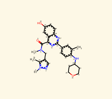 CCn1ncc(CN(C)C(=O)c2nc(-c3ccc(NC4CCOCC4)c(C)c3)nc3ccc(O)cc23)c1C